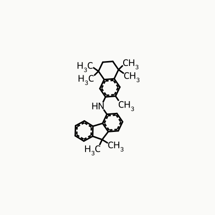 Cc1cc2c(cc1Nc1cccc3c1-c1ccccc1C3(C)C)C(C)(C)CCC2(C)C